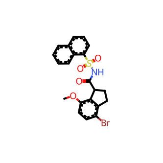 COc1ccc(Br)c2c1C(C(=O)NS(=O)(=O)c1cccc3ccccc13)CC2